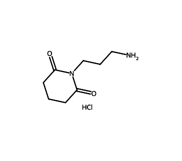 Cl.NCCCN1C(=O)CCCC1=O